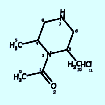 CC(=O)N1C(C)CNCC1C.Cl